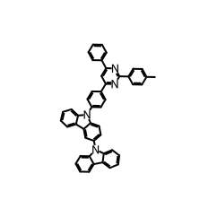 Cc1ccc(-c2nc(-c3ccccc3)cc(-c3ccc(-n4c5ccccc5c5cc(-n6c7ccccc7c7ccccc76)ccc54)cc3)n2)cc1